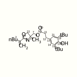 C=C(CCCC)C1=NC(C)(COC(=O)CCc2cc(C(C)(C)C)c(O)c(C(C)(C)C)c2)CO1